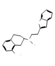 CCCN(CCc1cc2ccccc2s1)C1CCc2cccc(OC)c2C1